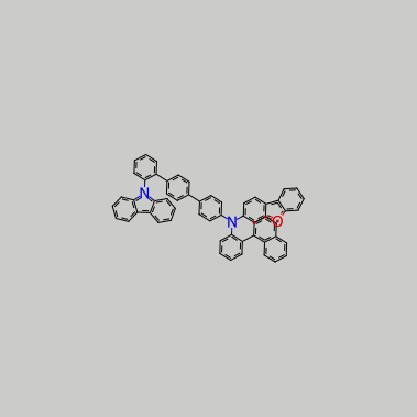 c1ccc(N(c2ccc(-c3ccc(-c4ccccc4-n4c5ccccc5c5ccccc54)cc3)cc2)c2ccc3c(c2)oc2ccccc23)c(-c2cccc3ccccc23)c1